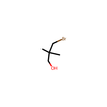 [CH2]C(C)(CO)CBr